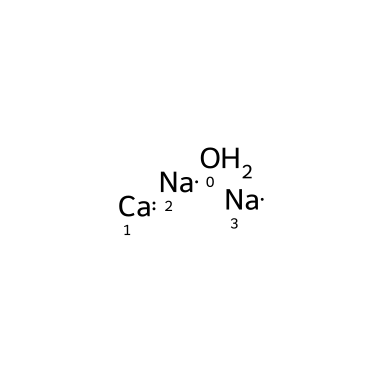 O.[Ca].[Na].[Na]